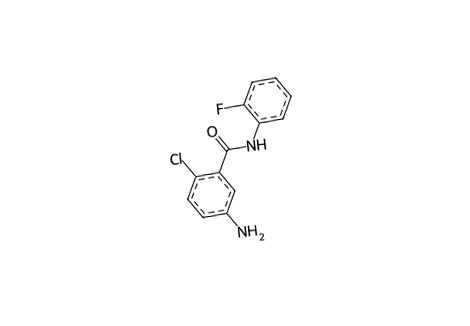 Nc1ccc(Cl)c(C(=O)Nc2ccccc2F)c1